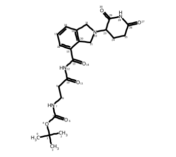 CC(C)(C)OC(=O)NCCC(=O)NC(=O)c1cccc2c1CN(C1CCC(=O)NC1=O)C2